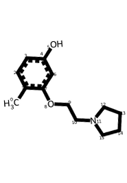 Cc1[c]cc(O)cc1OCCN1CCCC1